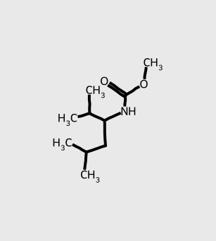 COC(=O)NC(CC(C)C)C(C)C